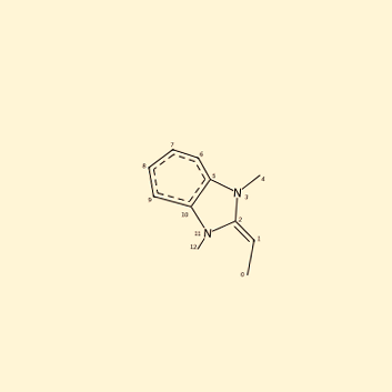 CC=C1N(C)c2ccccc2N1C